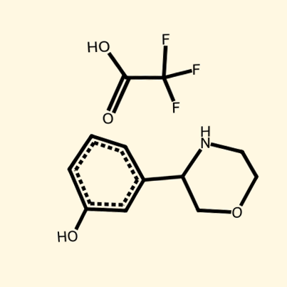 O=C(O)C(F)(F)F.Oc1cccc(C2COCCN2)c1